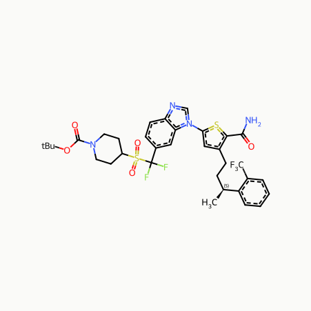 C[C@@H](CCc1cc(-n2cnc3ccc(C(F)(F)S(=O)(=O)C4CCN(C(=O)OC(C)(C)C)CC4)cc32)sc1C(N)=O)c1ccccc1C(F)(F)F